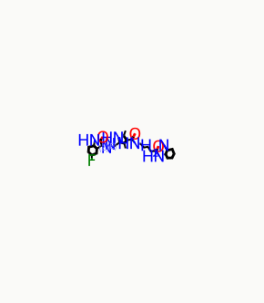 Cc1[nH]c(/C=N/N=C2\C(=O)Nc3ccc(F)cc32)c(C)c1C(=O)NCCCCC(=O)Nc1ccccc1N